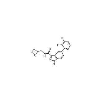 O=C(NCC1CCO1)c1n[nH]c2ccc(-c3cccc(F)c3F)cc12